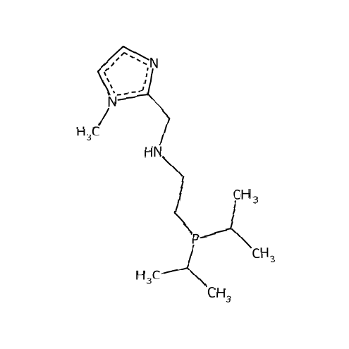 CC(C)P(CCNCc1nccn1C)C(C)C